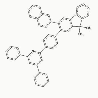 CC1(C)c2ccccc2-c2cc(-c3ccc4ccccc4c3)c(-c3ccc(-c4nc(-c5ccccc5)cc(-c5ccccc5)n4)cc3)cc21